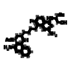 CCCC[C@H](CO)Nc1nc(N)nc2c(CCCC[C@H](CNC(C)=O)Nc3nc(N)nc4cccnc34)c(F)cnc12